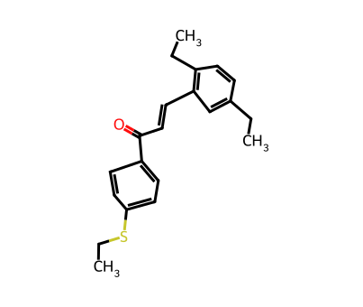 CCSc1ccc(C(=O)C=Cc2cc(CC)ccc2CC)cc1